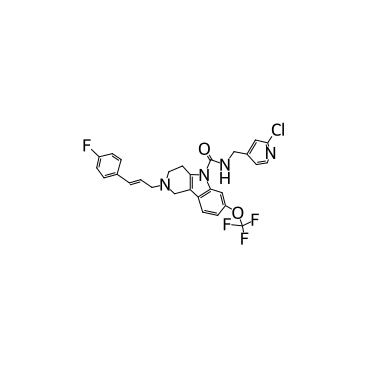 O=C(NCc1ccnc(Cl)c1)n1c2c(c3ccc(OC(F)(F)F)cc31)CN(CC=Cc1ccc(F)cc1)CC2